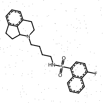 O=S(=O)(NCCCCN1CCc2cccc3c2C1CC3)c1ccc(F)c2ccccc12